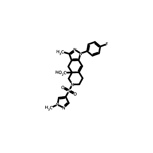 Cc1nn(-c2ccc(F)cc2)c2c1CC1(C(=O)O)CN(S(=O)(=O)c3cnn(C)c3)CCC1=C2